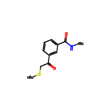 CCCCSCC(=O)c1cccc(C(=O)NC(C)(C)C)c1